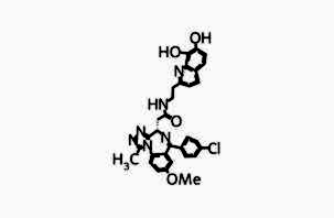 COc1ccc2c(c1)C(c1ccc(Cl)cc1)=N[C@@H](CC(=O)NCCc1ccc3ccc(O)c(O)c3n1)c1nnc(C)n1-2